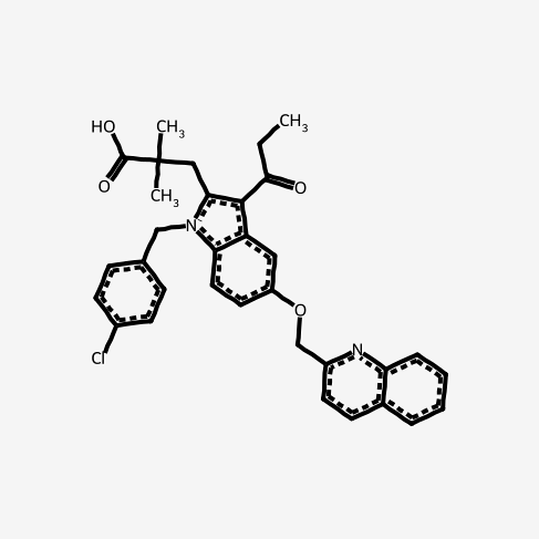 CCC(=O)c1c(CC(C)(C)C(=O)O)n(Cc2ccc(Cl)cc2)c2ccc(OCc3ccc4ccccc4n3)cc12